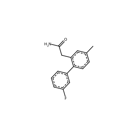 Cc1ccc(-c2cccc(F)c2)c(CC(N)=O)c1